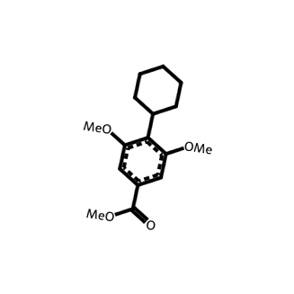 COC(=O)c1cc(OC)c(C2CCCCC2)c(OC)c1